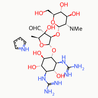 CN[C@@H]1[C@H](O[C@H]2[C@H](O[C@H]3[C@H](O)[C@@H](O)[C@H](NC(=N)N)[C@@H](O)[C@@H]3NC(=N)N)O[C@@H](C)[C@]2(O)C=O)O[C@@H](CO)[C@H](O)[C@H]1O.c1cc[nH]c1